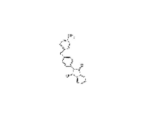 Nc1ccc(Oc2ccc(N3C(=O)c4ccccc4C3=O)cc2)cc1